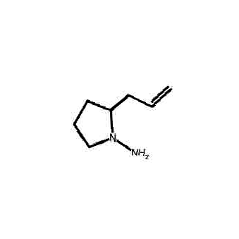 C=CCC1CCCN1N